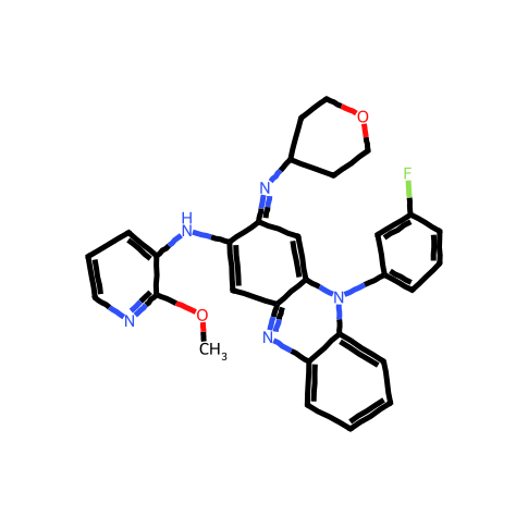 COc1ncccc1Nc1cc2nc3ccccc3n(-c3cccc(F)c3)c-2c/c1=N\C1CCOCC1